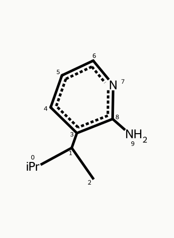 CC(C)C(C)c1cccnc1N